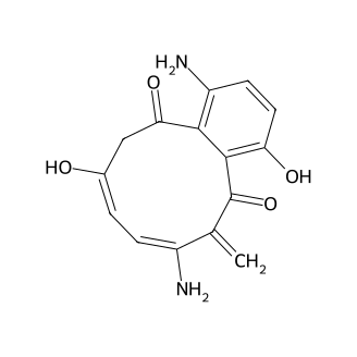 C=C1C(=O)c2c(O)ccc(N)c2C(=O)C/C(O)=C\C=C/1N